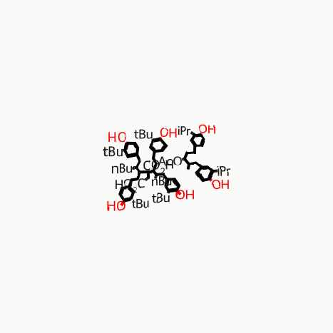 CC(=O)OC(CCc1ccc(O)c(C(C)C)c1)C(C)Cc1ccc(O)c(C(C)C)c1.CCCCC(Cc1ccc(O)c(C(C)(C)C)c1)C(CCc1ccc(O)c(C(C)(C)C)c1)C(CC(=O)O)(C(=O)O)C(CCc1ccc(O)c(C(C)(C)C)c1)C(CCCC)Cc1ccc(O)c(C(C)(C)C)c1